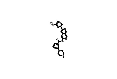 CC(C)Nc1cncc(-c2cc3cc(NC(=O)c4cccc(C5CCN(C)CC5)c4)ncc3cn2)n1